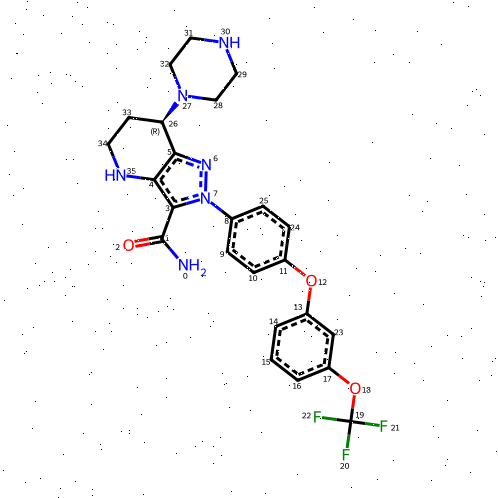 NC(=O)c1c2c(nn1-c1ccc(Oc3cccc(OC(F)(F)F)c3)cc1)[C@H](N1CCNCC1)CCN2